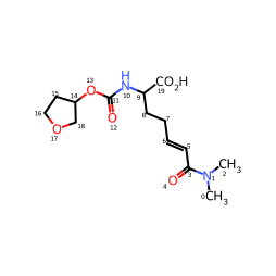 CN(C)C(=O)/C=C/CCC(NC(=O)OC1CCOC1)C(=O)O